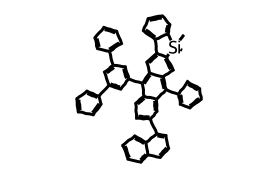 C[Si]1(C)c2ccccc2-c2cc3c(-c4cc(-c5ccccc5)cc(-c5ccccc5)c4)c4ccc(-c5cccc6ccccc56)cc4c(-c4ccccc4)c3cc21